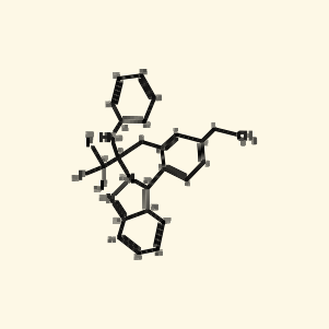 CCc1ccc2c(c1)CC(Nc1ccccc1)(C(F)(F)F)n1nc3ccccc3c1-2